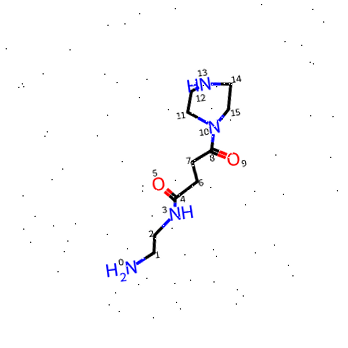 NCCNC(=O)CCC(=O)N1CCNCC1